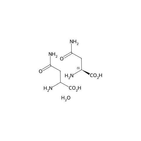 NC(=O)CC(N)C(=O)O.NC(=O)C[C@H](N)C(=O)O.O